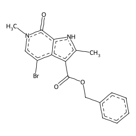 Cc1[nH]c2c(=O)n(C)cc(Br)c2c1C(=O)OCc1ccccc1